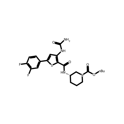 CCCCOC(=O)N1CCC[C@H](NC(=O)c2sc(-c3ccc(F)c(F)c3)cc2NC(N)=O)C1